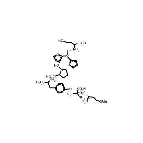 CC(N)C(=O)O.CSCC[C@H](N)C(=O)O.NC(CCO)C(=O)O.NC(Cc1ccc(Cl)cc1)C(=O)O.O=C(O)C1CCCN1O.[O-][S+](c1cccs1)c1cccs1